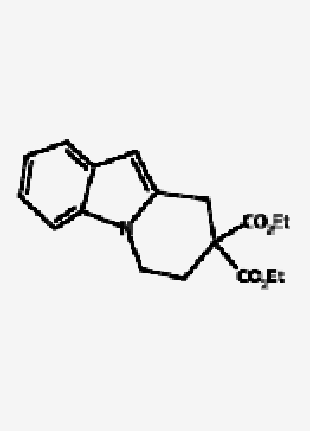 CCOC(=O)C1(C(=O)OCC)CCn2c(cc3ccccc32)C1